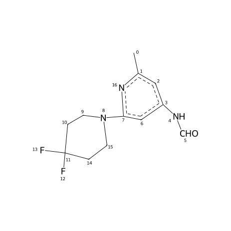 Cc1cc(NC=O)cc(N2CCC(F)(F)CC2)n1